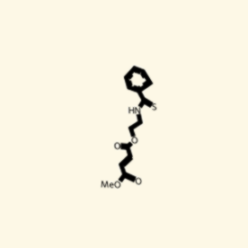 COC(=O)/C=C/C(=O)OCCNC(=S)c1ccccc1